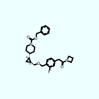 O=C(Cc1ccc(COC[C@H]2C[C@@H]2C2CCN(C(=O)OCc3ccccc3)CC2)c(F)c1)N1CCC1